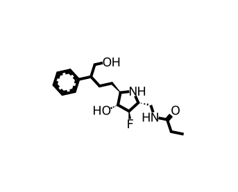 CCC(=O)NC[C@H]1N[C@H](CCC(CO)c2ccccc2)[C@@H](O)[C@@H]1F